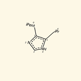 CCCC(C)c1nc[nH]c1C(C)C